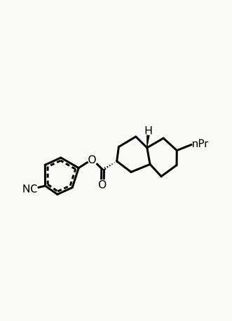 CCCC1CCC2C[C@H](C(=O)Oc3ccc(C#N)cc3)CC[C@@H]2C1